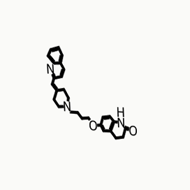 O=C1CCc2cc(OCCCCN3CCC(=Cc4ccc5ccccc5n4)CC3)ccc2N1